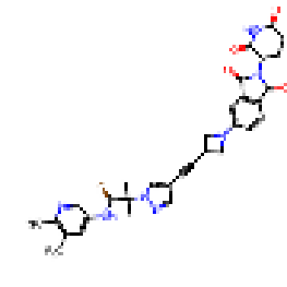 CC(C)(C(=S)Nc1cnc(C#N)c(C(F)(F)F)c1)n1cc(C#CC2CN(c3ccc4c(c3)C(=O)N(C3CCC(=O)NC3=O)C4=O)C2)cn1